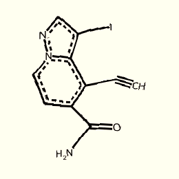 C#Cc1c(C(N)=O)ccn2ncc(I)c12